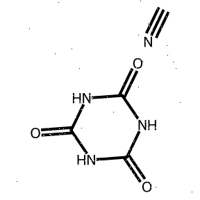 C#N.O=c1[nH]c(=O)[nH]c(=O)[nH]1